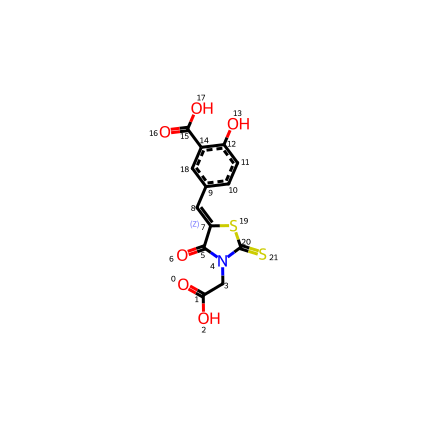 O=C(O)CN1C(=O)/C(=C/c2ccc(O)c(C(=O)O)c2)SC1=S